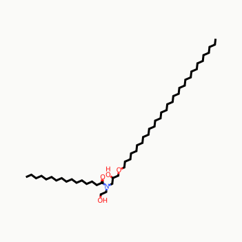 CCCCCCCCCCCCCCCCCCCCCCCCCCCCCCCCOCC(O)CN(CCO)C(=O)CCCCCCCCCCCCCCC